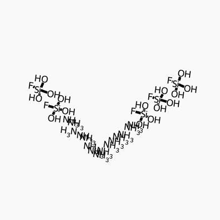 N.N.N.N.N.N.N.N.N.N.N.N.N.N.N.O[Si](O)(O)F.O[Si](O)(O)F.O[Si](O)(O)F.O[Si](O)(O)F.O[Si](O)(O)F